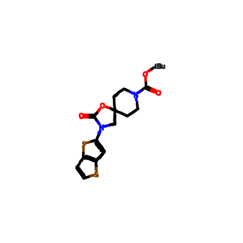 CC(C)(C)OC(=O)N1CCC2(CC1)CN(c1cc3sccc3s1)C(=O)O2